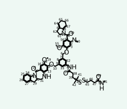 C=Nc1cc(OCc2cc(COc3cc4c(cc3OC)C(=O)N3c5ccccc5CC3CN4)cc(NC(=O)CCC(C)(C)SSCCCC(=O)NC)c2)c(OC)cc1C(=O)N1CCC2=CCCC=C21